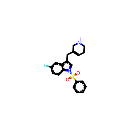 O=S(=O)(c1ccccc1)n1cc(CC2=CCCNC2)c2cc(F)ccc21